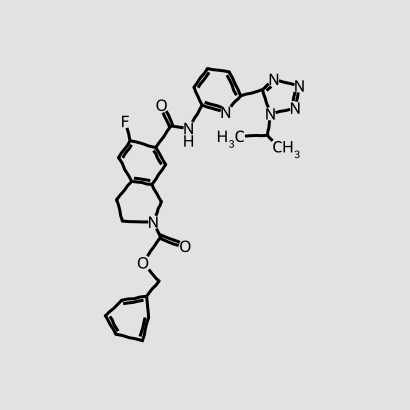 CC(C)n1nnnc1-c1cccc(NC(=O)c2cc3c(cc2F)CCN(C(=O)OCc2ccccc2)C3)n1